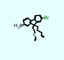 Bc1ccc2c(c1)C(CCCC=C)(CCCC=C)c1cc(Br)ccc1-2